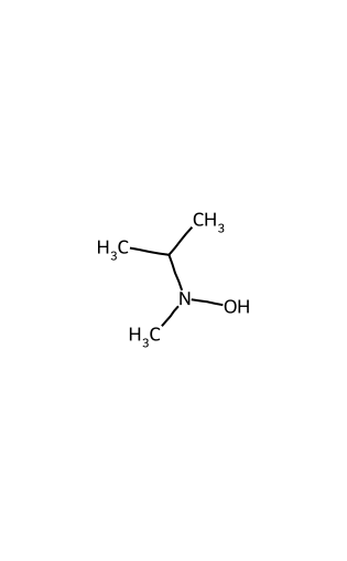 CC(C)N(C)O